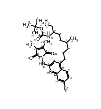 CCC(CCC(C)CCCc1cc(NN2C(=O)C(C)=C(C)C2=O)nc2cc(Br)ccc12)NC(=O)OC(C)(C)C